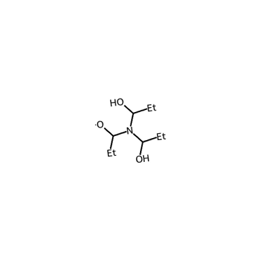 CCC([O])N(C(O)CC)C(O)CC